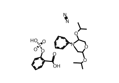 CC(C)OC1CN(c2ccccc2)C(OC(C)C)CO1.N#N.O=C(O)c1ccccc1OS(=O)(=O)O